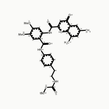 COc1cc(NC(=O)c2cc(=O)c3cc(C)cc(C)c3o2)c(C(=O)Nc2ccc(CCNC(=O)OC(C)(C)C)cc2)cc1OC